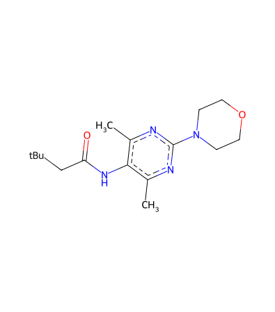 Cc1nc(N2CCOCC2)nc(C)c1NC(=O)CC(C)(C)C